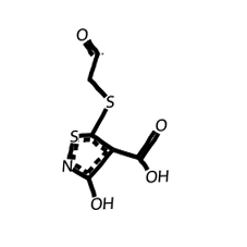 O=[C]CSc1snc(O)c1C(=O)O